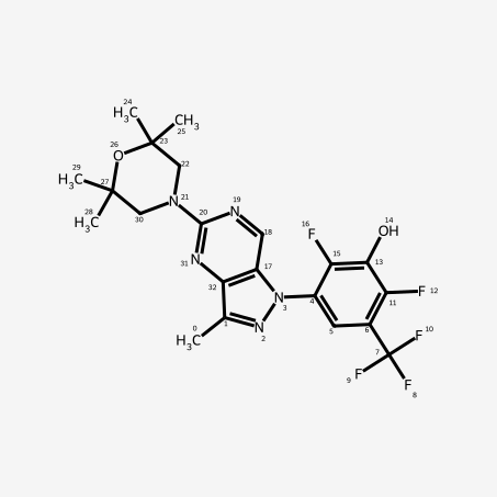 Cc1nn(-c2cc(C(F)(F)F)c(F)c(O)c2F)c2cnc(N3CC(C)(C)OC(C)(C)C3)nc12